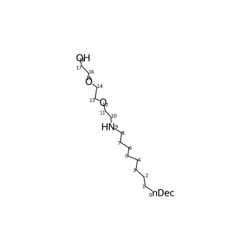 CCCCCCCCCCCCCCCCCCNCCOCCOCCO